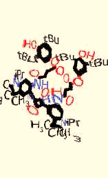 CC(C)N1c2cc(NC(=O)CCC(=O)Oc3cc(C(C)(C)C)c(O)c(C(C)(C)C)c3)c(C3=C(O)/C(=c4/cc5c(cc4NC(=O)CCC(=O)Oc4cc(C(C)(C)C)c(O)c(C(C)(C)C)c4)=[N+](C(C)C)C(C)C5(C)C)C3=O)cc2C(C)(C)C1C